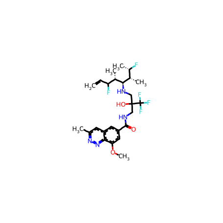 C=CC(F)[C@H](C)[C@H](NCC(O)(CNC(=O)c1cc(OC)c2nnc(C)cc2c1)C(F)(F)F)[C@@H](C)[C@H](C)F